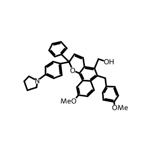 COc1ccc(Cc2c(CO)c3c(c4cc(OC)ccc24)OC(c2ccccc2)(c2ccc(N4CCCC4)cc2)C=C3)cc1